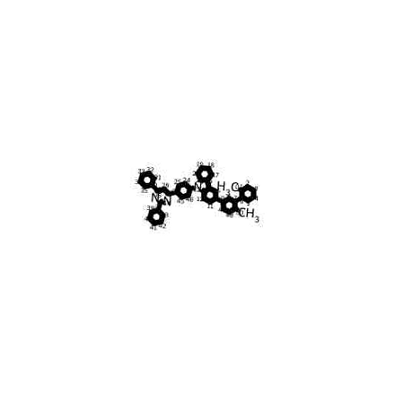 Cc1ccccc1-c1cc(-c2ccc3c(c2)c2ccccc2n3-c2ccc(-c3cc(-c4ccccc4)nc(-c4ccccc4)n3)cc2)ccc1C